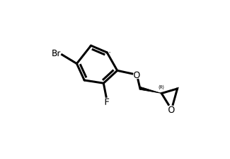 Fc1cc(Br)c[c]c1OC[C@H]1CO1